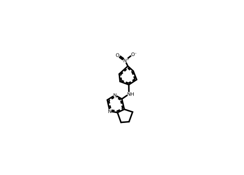 O=[N+]([O-])c1ccc(Nc2ncnc3c2CCC3)cc1